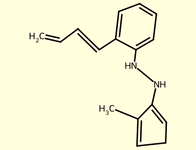 C=C/C=C/c1ccccc1NNC1=CCC=C1C